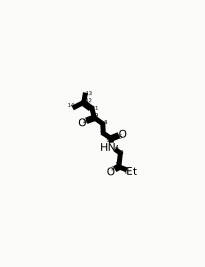 CCC(=O)CNC(=O)CCC(=O)C=C(C)C